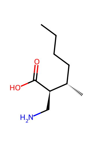 CCCC[C@H](C)[C@@H](CN)C(=O)O